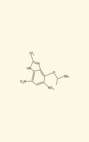 CC(Oc1c([N+](=O)[O-])cc([N+](=O)[O-])c2[nH]c(C(F)(F)F)nc12)C(C)(C)C